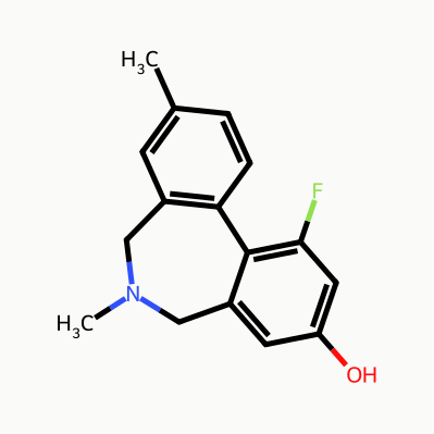 Cc1ccc2c(c1)CN(C)Cc1cc(O)cc(F)c1-2